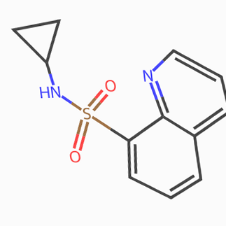 O=S(=O)(NC1CC1)c1cccc2cccnc12